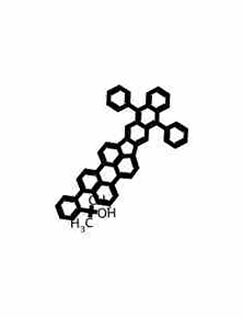 CC(C)(O)c1ccccc1-c1ccc2c3ccc4c5c(ccc(c6cccc1c62)c53)-c1cc2c(-c3ccccc3)c3ccccc3c(-c3ccccc3)c2cc1-4